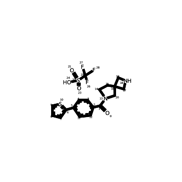 O=C(c1ccc(-c2cccs2)cc1)N1CCC2(CNC2)C1.O=S(=O)(O)C(F)(F)F